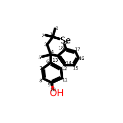 CC1(C)CC(C)(c2ccc(O)cc2)c2ccccc2[Se]1